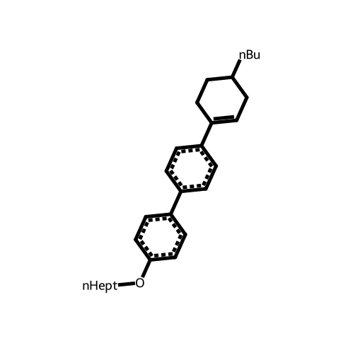 CCCCCCCOc1ccc(-c2ccc(C3=CCC(CCCC)CC3)cc2)cc1